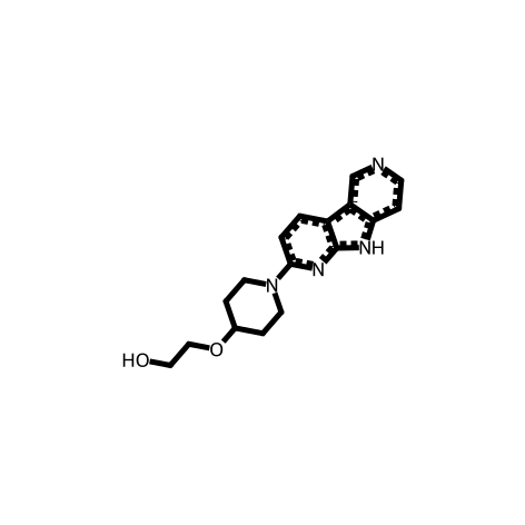 OCCOC1CCN(c2ccc3c(n2)[nH]c2ccncc23)CC1